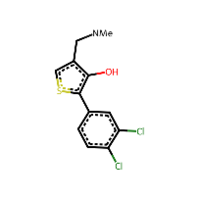 CNCc1csc(-c2ccc(Cl)c(Cl)c2)c1O